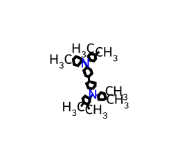 Cc1ccc(N(c2ccc(-c3ccc(N(c4ccc(C)c(C)c4)c4ccc(C)c(C)c4)cc3)cc2)c2ccc(C)c(C)c2)cc1